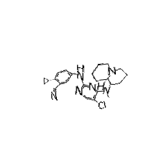 CN(c1nc(Nc2ccc(C3CC3)c(C#N)c2)ncc1Cl)[C@H]1CCCN2CCCC[C@H]12